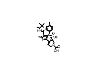 Cc1ccc(N(c2c(C3=CCN(C(=O)O)CC3)nn(C)c2C(=O)NC(C)C(C)(C)C)S(=O)(=O)O)cc1